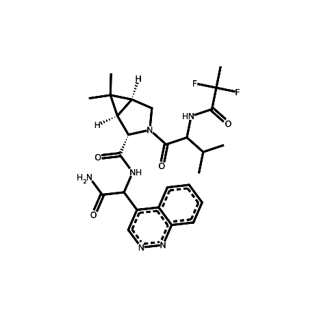 CC(C)C(NC(=O)C(C)(F)F)C(=O)N1C[C@H]2[C@@H]([C@H]1C(=O)NC(C(N)=O)c1cnnc3ccccc13)C2(C)C